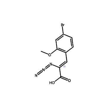 COc1cc(Br)ccc1/C=C(\N=[N+]=[N-])C(=O)O